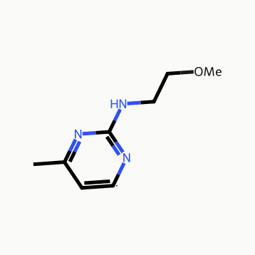 COCCNc1n[c]cc(C)n1